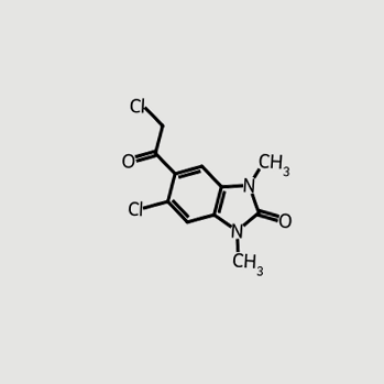 Cn1c(=O)n(C)c2cc(C(=O)CCl)c(Cl)cc21